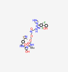 Cc1cc2c(N3CCNCC3)nc(NCCC(=O)N(C)CCOCCOCC(=O)N[C@H](C(=O)N3C[C@H](O)C[C@H]3C(=O)N[C@@H](C)c3ccc(-c4scnc4C)cc3)C(C)(C)C)nc2c(F)c1-c1c(O)cccc1F